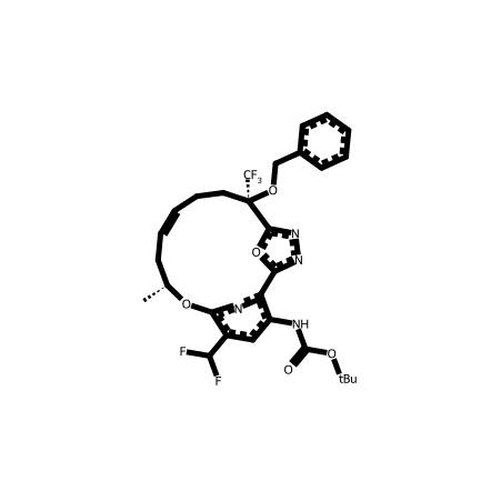 C[C@@H]1CC=CCC[C@](OCc2ccccc2)(C(F)(F)F)c2nnc(o2)-c2nc(c(C(F)F)cc2NC(=O)OC(C)(C)C)O1